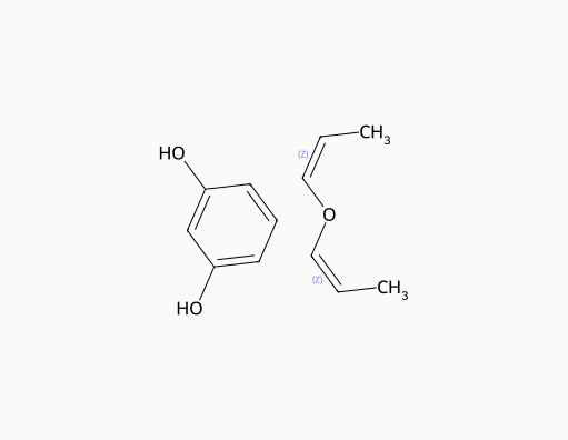 C/C=C\O/C=C\C.Oc1cccc(O)c1